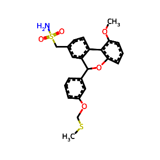 COc1cccc2c1-c1ccc(CS(N)(=O)=O)cc1C(c1cccc(OCSC)c1)O2